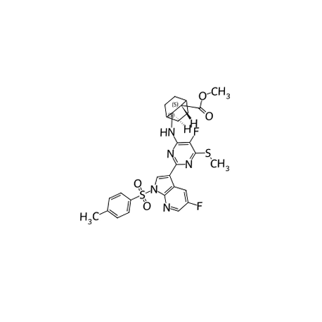 COC(=O)[C@H]1C2CCC(CC2)[C@@H]1Nc1nc(-c2cn(S(=O)(=O)c3ccc(C)cc3)c3ncc(F)cc23)nc(SC)c1F